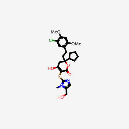 COc1cc(OC)c(CCC2(C3CCCC3)CC(O)=C(Sc3ncc(CO)n3C)C(=O)O2)cc1Cl